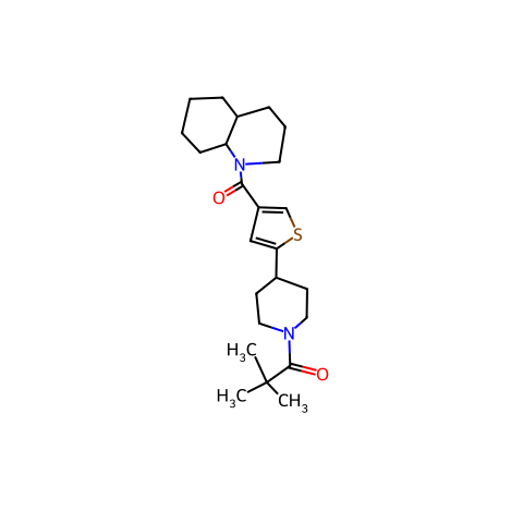 CC(C)(C)C(=O)N1CCC(c2cc(C(=O)N3CCCC4CCCCC43)cs2)CC1